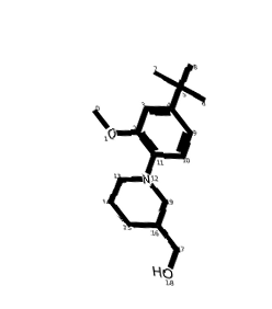 COc1cc(C(C)(C)C)ccc1N1CCCC(CO)C1